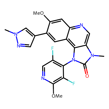 COc1cc2ncc3c(c2cc1-c1cnn(C)c1)n(-c1c(F)cnc(OC)c1F)c(=O)n3C